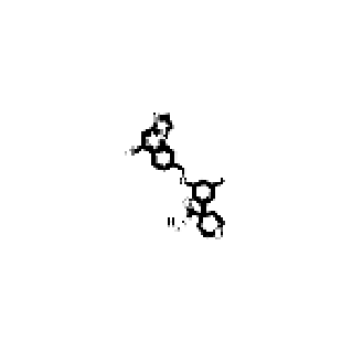 NC(=O)C1(c2cc(F)cc(OCc3ccc4c(Cl)cc5nccn5c4c3)c2)CCOCC1